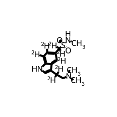 [2H]c1c(C([2H])([2H])S(=O)(=O)NC)c([2H])c2c(C([2H])([2H])CN(C)C)c[nH]c2c1[2H]